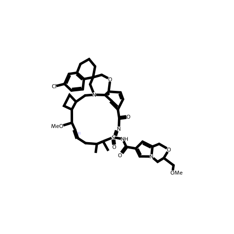 COCC1Cn2cc(C(=O)NS3(=O)=NC(=O)c4ccc5c(c4)N(CC4CCC4C(OC)/C=C/CC(C)C3C)CC3(CCCc4cc(Cl)ccc43)CO5)cc2CO1